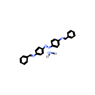 C(=Nc1ccc(N=Nc2ccc(N=Cc3ccccc3)cc2)cc1)c1ccccc1.CCNCC